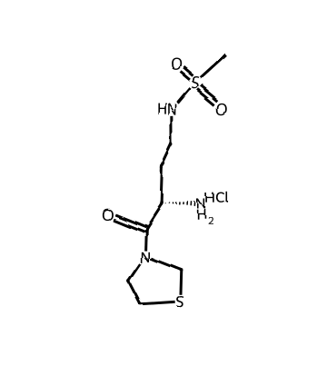 CS(=O)(=O)NCC[C@H](N)C(=O)N1CCSC1.Cl